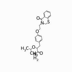 CC(C)OC(Cc1ccc(OCCN2CSc3ccccc3C2=O)cc1)C(N)=O